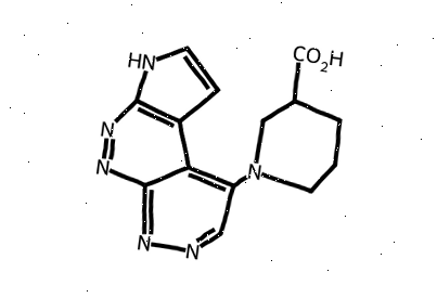 O=C(O)C1CCCN(c2cnnc3nnc4[nH]ccc4c23)C1